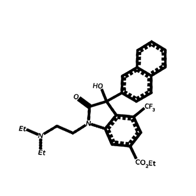 CCOC(=O)c1cc2c(c(C(F)(F)F)c1)C(O)(c1ccc3ccccc3c1)C(=O)N2CCN(CC)CC